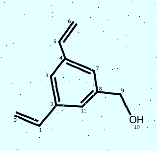 C=Cc1cc(C=C)cc(CO)c1